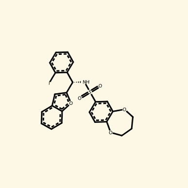 O=S(=O)(N[C@H](c1cc2ccccc2o1)c1ccccc1I)c1ccc2c(c1)OCCCO2